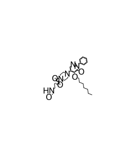 CCCCCCCOc1c(N2CCN(S(=O)(=O)CCNC=O)CC2)cnn(-c2ccccc2)c1=O